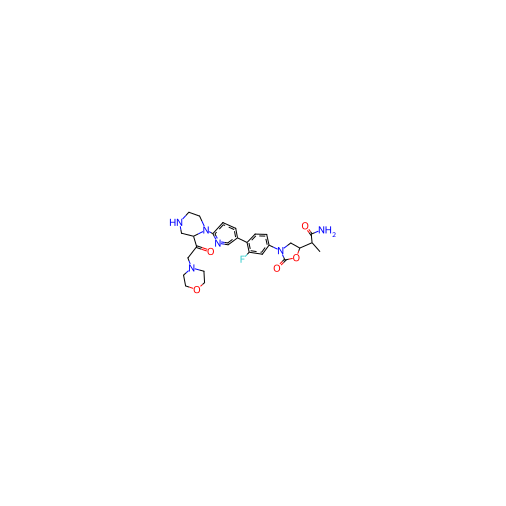 CC(C(N)=O)C1CN(c2ccc(-c3ccc(N4CCNCC4C(=O)CN4CCOCC4)nc3)c(F)c2)C(=O)O1